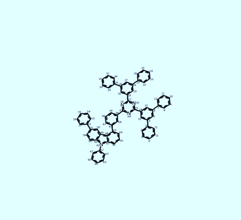 c1ccc(-c2cc(-c3ccccc3)cc(-c3nc(-c4cc(-c5ccccc5)cc(-c5ccccc5)c4)nc(-c4cccc(-c5cccc6c5c5cc(-c7ccccc7)ccc5n6-c5ccccc5)c4)n3)c2)cc1